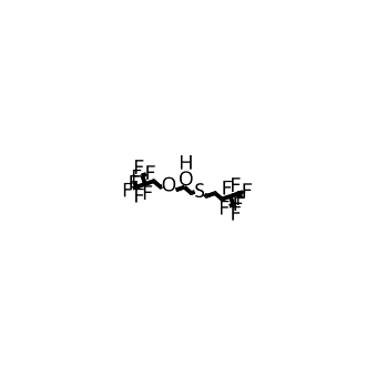 OC(COCCC(F)(C(F)(F)F)C(F)(F)F)CSCCCC(F)(C(F)(F)F)C(F)(F)F